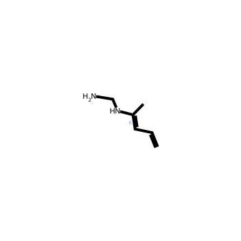 C=C/C=C(\C)NCN